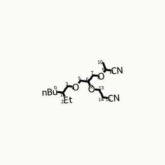 CCCCC(CC)COCC(COC(C)C#N)OCCC#N